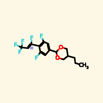 CCCC1COC(c2cc(F)c(/C(F)=C/C(F)(F)F)c(F)c2)OC1